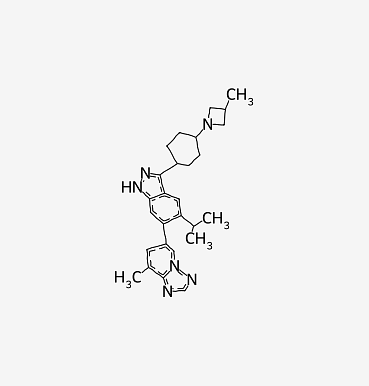 Cc1cc(-c2cc3[nH]nc(C4CCC(N5CC(C)C5)CC4)c3cc2C(C)C)cn2ncnc12